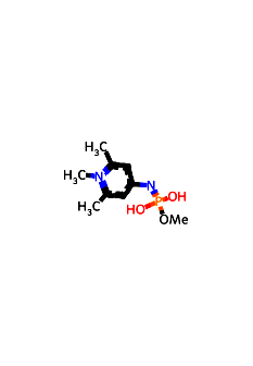 COP(O)(O)=Nc1cc(C)[n+](C)c(C)c1